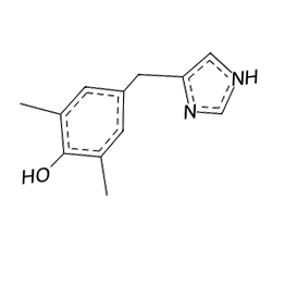 Cc1cc(Cc2c[nH]cn2)cc(C)c1O